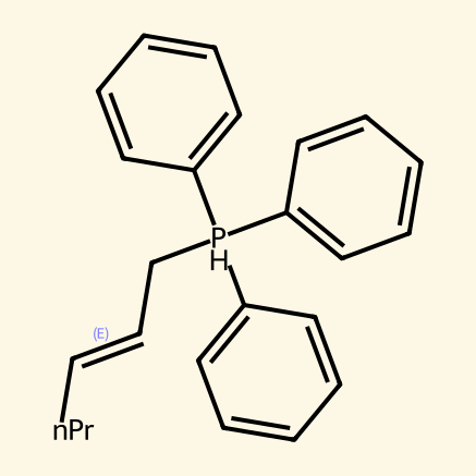 CCC/C=C/C[PH](c1ccccc1)(c1ccccc1)c1ccccc1